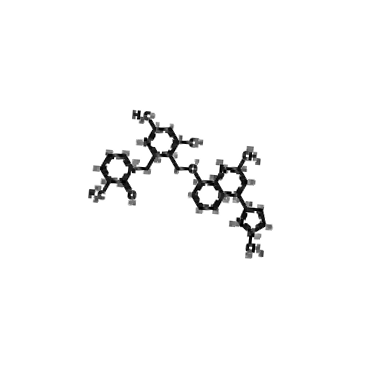 Cc1cc(Cl)c(COc2cccc3c(-c4ccn(C)n4)cc(C)nc23)c(Cn2cccc(C(F)(F)F)c2=O)n1